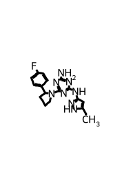 CCc1cc(Nc2nc(N)nc(N3CCCC3c3ccc(F)cc3)n2)n[nH]1